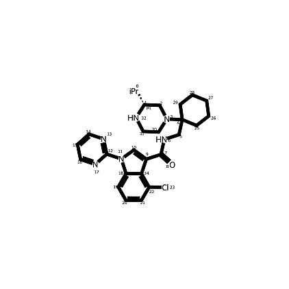 CC(C)[C@@H]1CN(C2(CNC(=O)c3cn(-c4ncccn4)c4cccc(Cl)c34)CCCCC2)CCN1